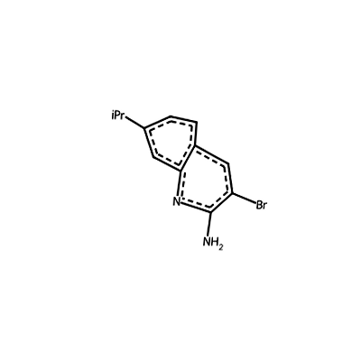 CC(C)c1ccc2cc(Br)c(N)nc2c1